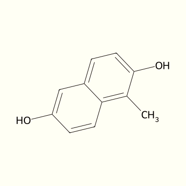 Cc1c(O)ccc2cc(O)ccc12